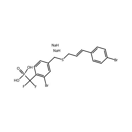 O=P(O)(O)C(F)(F)c1ccc(CSC/C=C/c2ccc(Br)cc2)cc1Br.[NaH].[NaH]